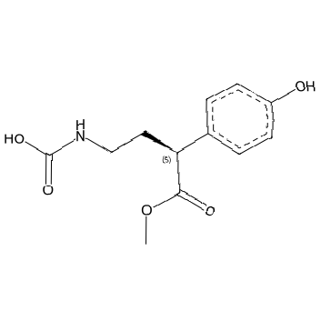 COC(=O)[C@@H](CCNC(=O)O)c1ccc(O)cc1